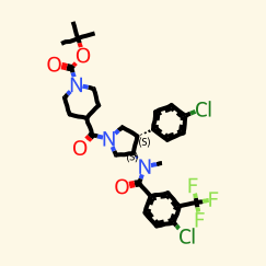 CN(C(=O)c1ccc(Cl)c(C(F)(F)F)c1)[C@@H]1CN(C(=O)C2CCN(C(=O)OC(C)(C)C)CC2)C[C@@H]1c1ccc(Cl)cc1